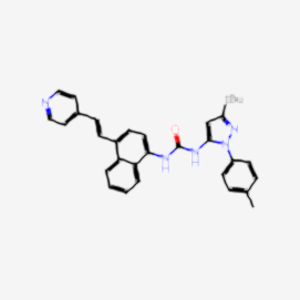 Cc1ccc(-n2nc(C(C)(C)C)cc2NC(=O)Nc2ccc(C=Cc3ccncc3)c3ccccc23)cc1